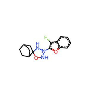 Fc1c(N2NOC3(CC4CCC3CC4)N2)oc2ccccc12